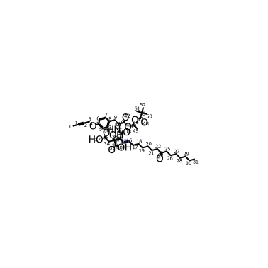 CC#CCOc1ccc(C[C@H](NC(=O)[C@@H](/C=C/CCCCCCC(=O)CCCCCCC)[C@@](O)(CC(=O)O)C(=O)O)C(=O)OC(C)OC(=O)C(C)(C)C)cc1